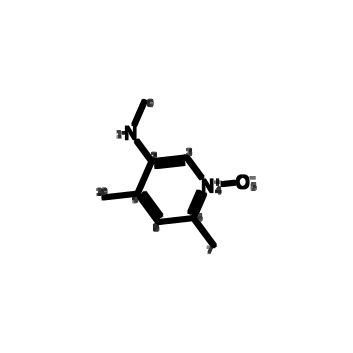 C[N]c1c[n+]([O-])c(C)cc1C